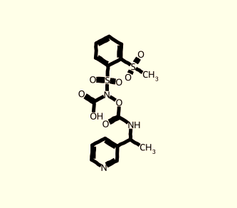 CC(NC(=O)ON(C(=O)O)S(=O)(=O)c1ccccc1S(C)(=O)=O)c1cccnc1